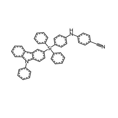 N#Cc1ccc(Nc2ccc([Si](c3ccccc3)(c3ccccc3)c3ccc4c(c3)c3ccccc3n4-c3ccccc3)cc2)cc1